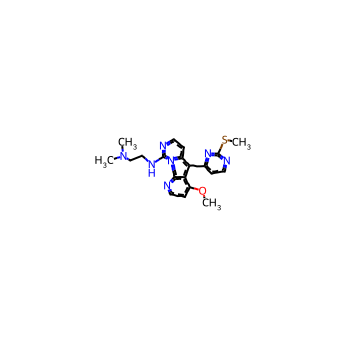 COc1ccnc2c1c(-c1ccnc(SC)n1)c1ccnc(NCCN(C)C)n12